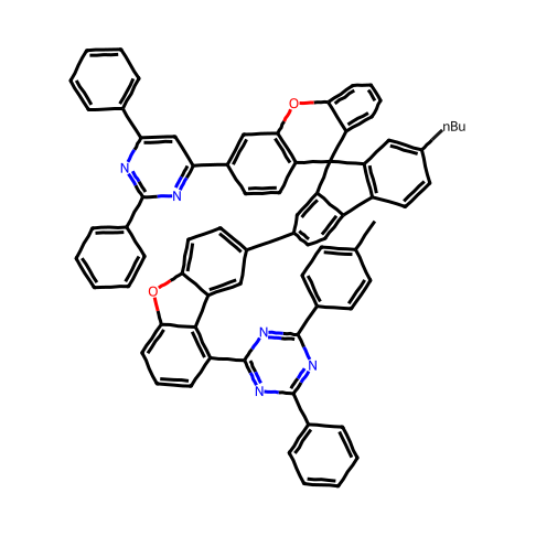 CCCCc1ccc2c(c1)C1(c3ccccc3Oc3cc(-c4cc(-c5ccccc5)nc(-c5ccccc5)n4)ccc31)c1cc(-c3ccc4oc5cccc(-c6nc(-c7ccccc7)nc(-c7ccc(C)cc7)n6)c5c4c3)ccc1-2